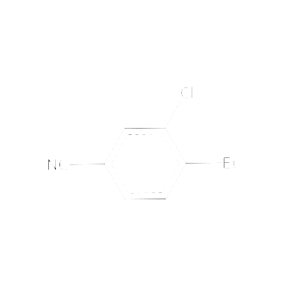 CCc1ccc(C#N)cc1Cl